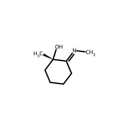 C/N=C1\CCCC[C@]1(C)O